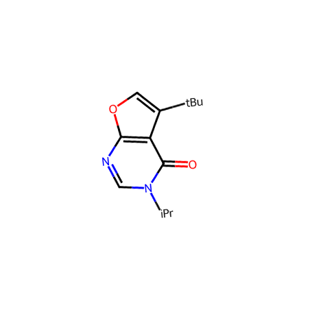 CC(C)n1cnc2occ(C(C)(C)C)c2c1=O